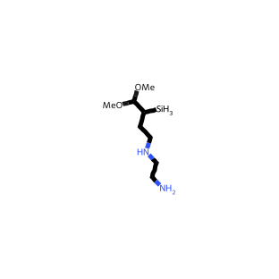 COC(OC)C([SiH3])CCNCCN